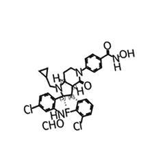 C[C@@]1(c2ccc(Cl)cc2NC=O)[C@@H](c2cccc(Cl)c2F)[C@@H]2C(=O)N(c3ccc(C(=O)NO)cc3)CC[C@@H]2N1CC1CC1